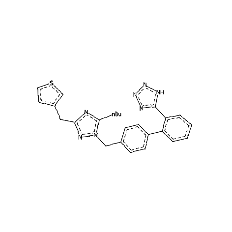 CCCCc1nc(Cc2ccsc2)nn1Cc1ccc(-c2ccccc2-c2nnn[nH]2)cc1